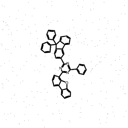 c1ccc(-c2nc(-c3ccc4c(c3)-c3ccccc3C4(c3ccccc3)c3ccccc3)nc(-c3cccc4c3oc3ccccc34)n2)cc1